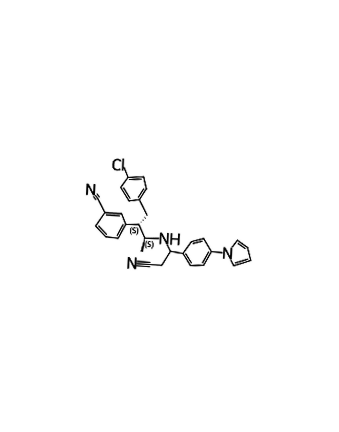 C[C@H](NC(CC#N)c1ccc(-n2cccc2)cc1)[C@@H](Cc1ccc(Cl)cc1)c1cccc(C#N)c1